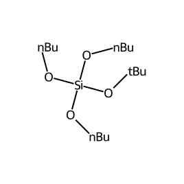 CCCCO[Si](OCCCC)(OCCCC)OC(C)(C)C